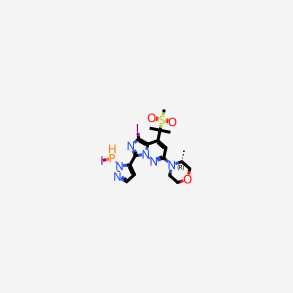 C[C@@H]1COCCN1c1cc(C(C)(C)S(C)(=O)=O)c2c(I)nc(-c3ccnn3PI)n2n1